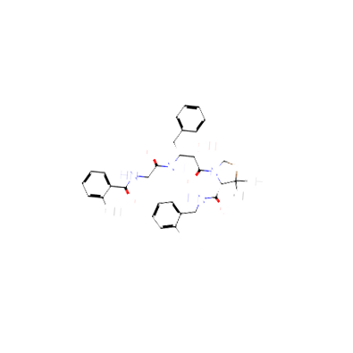 Cc1ccccc1CNC(=O)[C@H]1N(C(=O)[C@@H](O)[C@H](Cc2ccccc2)NC(=O)CNC(=O)c2ccccc2C)CSC1(C)C